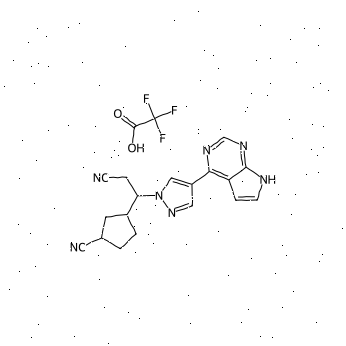 N#CCC(C1CCC(C#N)C1)n1cc(-c2ncnc3[nH]ccc23)cn1.O=C(O)C(F)(F)F